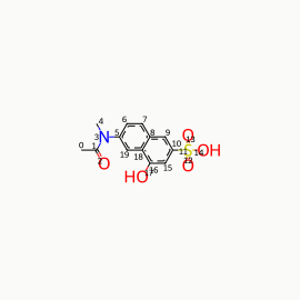 CC(=O)N(C)c1ccc2cc(S(=O)(=O)O)cc(O)c2c1